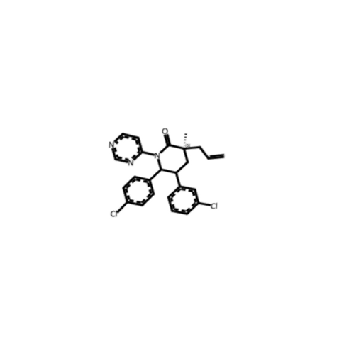 C=CC[C@@]1(C)CC(c2cccc(Cl)c2)C(c2ccc(Cl)cc2)N(c2ccncn2)C1=O